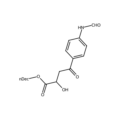 CCCCCCCCCCOC(=O)C(O)CC(=O)c1ccc(NC=O)cc1